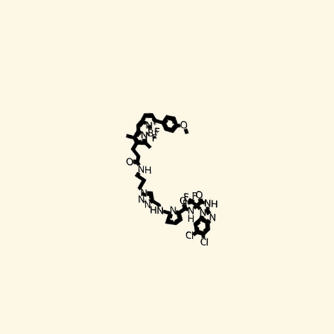 COc1ccc(C2=[N+]3C(=Cc4c(C)c(CCC(=O)NCCCn5cc(CNc6cccc(C(=O)NC7(C(F)(F)F)C(=O)Nc8nc9cc(Cl)c(Cl)cc9n87)n6)nn5)c(C)n4[B-]3(F)F)C=C2)cc1